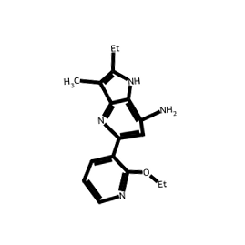 CCOc1ncccc1-c1cc(N)c2[nH]c(CC)c(C)c2n1